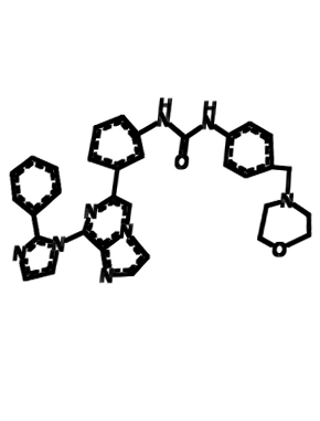 O=C(Nc1ccc(CN2CCOCC2)cc1)Nc1cccc(-c2cn3ccnc3c(-n3ccnc3-c3ccccc3)n2)c1